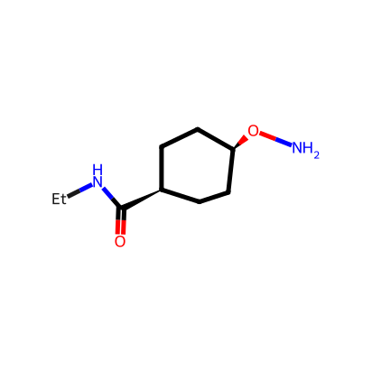 CCNC(=O)[C@H]1CC[C@@H](ON)CC1